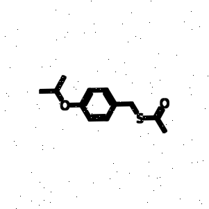 CC(=O)SCc1ccc(OC(C)C)cc1